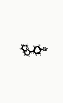 Brc1ccc(C2CCC3=CCCN32)cc1